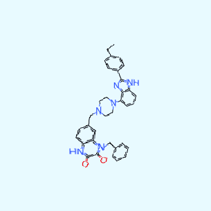 CCc1ccc(-c2nc3c(N4CCN(Cc5ccc6[nH]c(=O)c(=O)n(Cc7ccccc7)c6c5)CC4)cccc3[nH]2)cc1